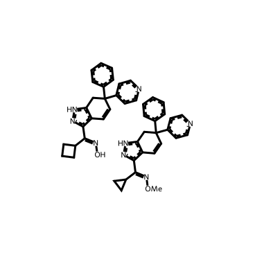 CON=C(c1n[nH]c2c1C=CC(c1ccccc1)(c1ccncc1)C2)C1CC1.ON=C(c1n[nH]c2c1C=CC(c1ccccc1)(c1ccncc1)C2)C1CCC1